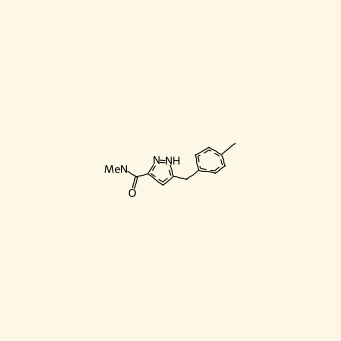 CNC(=O)c1cc(Cc2ccc(C)cc2)[nH]n1